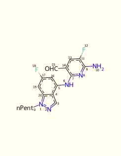 CCCCCn1ncc2c(Nc3nc(N)c(F)cc3C=O)cc(F)cc21